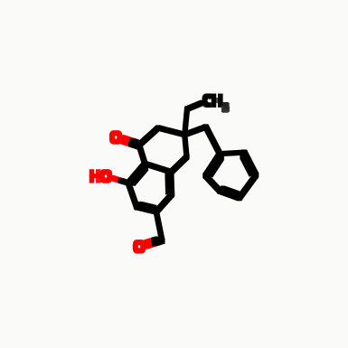 CCC1(Cc2ccccc2)CC(=O)c2c(O)cc(C=O)cc2C1